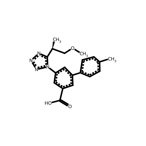 COC[C@H](C)c1nnnn1-c1cc(C(=O)O)cc(-c2ccc(C)cc2)c1